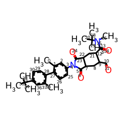 Cc1cc(N2C(=O)C3CC(C=O)C(C(=O)N(C)C(C)(C)C)CC3C2=O)ccc1-c1ccc(C(C)(C)C)cc1C